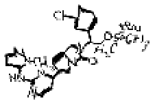 Cn1nccc1Nc1nccc(-c2cc3n(c2)C(=O)N([C@H](CO[Si](C)(C)C(C)(C)C)c2cccc(Cl)c2)C3)n1